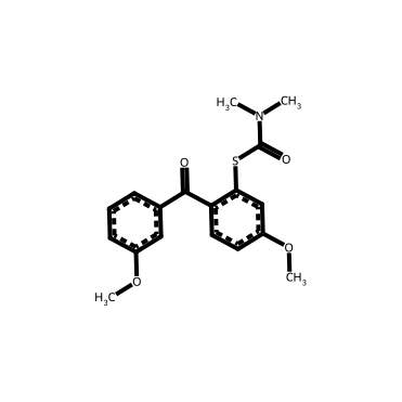 COc1cccc(C(=O)c2ccc(OC)cc2SC(=O)N(C)C)c1